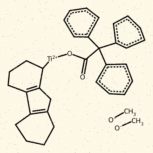 C[O-].C[O-].O=C([O][Ti+2][CH]1CCCC2=C1CC1=C2CCCC1)C(c1ccccc1)(c1ccccc1)c1ccccc1